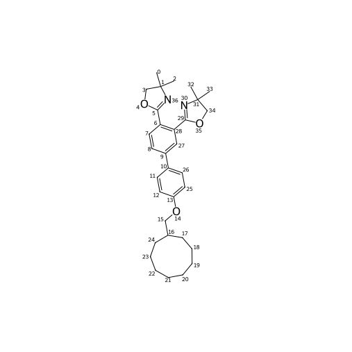 CC1(C)COC(c2ccc(-c3ccc(OCC4CCCCCCCC4)cc3)cc2C2=NC(C)(C)CO2)=N1